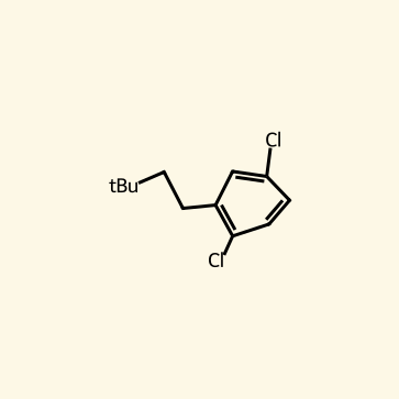 CC(C)(C)CCc1cc(Cl)ccc1Cl